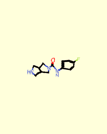 O=C(Nc1ccc(F)cc1)N1CC2CNCC2C1